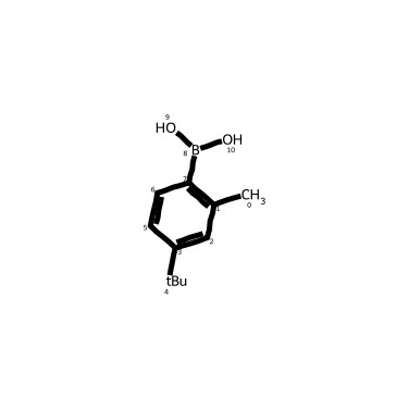 Cc1cc(C(C)(C)C)ccc1B(O)O